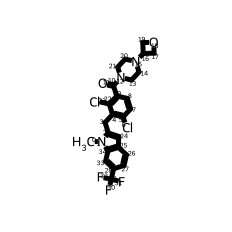 Cn1c(Cc2c(Cl)ccc(C(=O)N3CCN(C4COC4)CC3)c2Cl)cc2ccc(C(F)(F)F)cc21